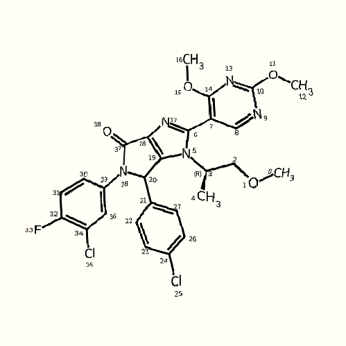 COC[C@@H](C)n1c(-c2cnc(OC)nc2OC)nc2c1C(c1ccc(Cl)cc1)N(c1ccc(F)c(Cl)c1)C2=O